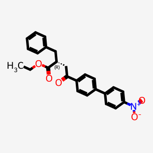 CCOC(=O)[C@@H](CC(=O)c1ccc(-c2ccc([N+](=O)[O-])cc2)cc1)Cc1ccccc1